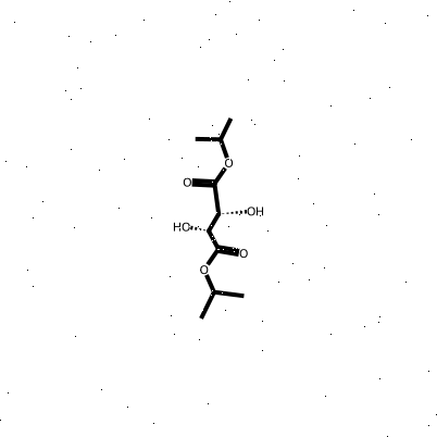 CC(C)OC(=O)[C@H](O)[C@@H](O)C(=O)OC(C)C